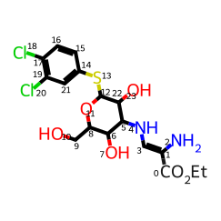 CCOC(=O)/C(N)=C/NC1C(O)C(CO)OC(Sc2ccc(Cl)c(Cl)c2)C1O